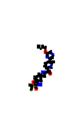 CCOc1cncc(-c2ccc(C(=O)NCc3cccc(NS(=O)(=O)C(F)F)c3)nc2)n1